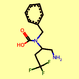 NCC(CC(F)(F)F)N(Cc1ccccc1)C(=O)O